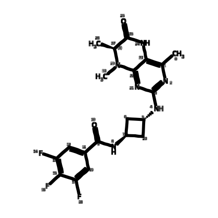 Cc1nc(N[C@H]2C[C@H](NC(=O)c3cc(F)c(F)c(F)c3)C2)nc2c1NC(=O)[C@H](C)N2C